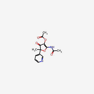 CC(=O)NC1=C(OC(C)=O)C(=O)C(C)(c2cccnc2)O1